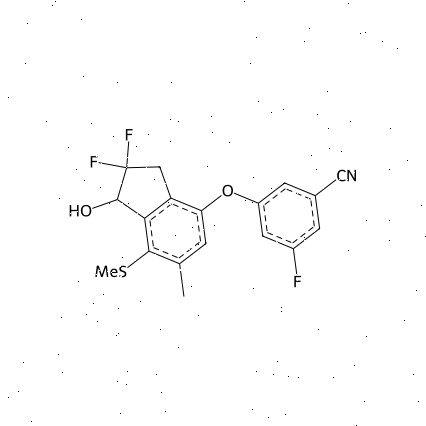 CSc1c(C)cc(Oc2cc(F)cc(C#N)c2)c2c1C(O)C(F)(F)C2